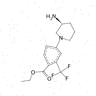 CCOC(=O)c1ccc(N2CCC[C@H](N)C2)cc1C(F)(F)F